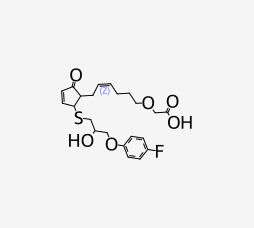 O=C(O)COCCC/C=C\CC1C(=O)C=CC1SCC(O)COc1ccc(F)cc1